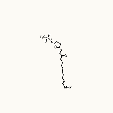 CCCCCCCCCC=CCCCCCCCC(=O)OC[C@@H]1CC[C@H](COS(=O)(=O)C(F)(F)F)O1